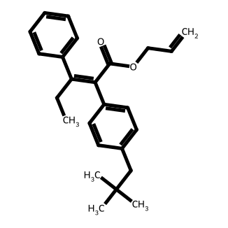 C=CCOC(=O)C(=C(CC)c1ccccc1)c1ccc(CC(C)(C)C)cc1